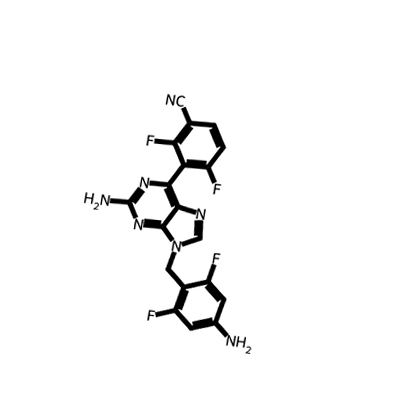 N#Cc1ccc(F)c(-c2nc(N)nc3c2ncn3Cc2c(F)cc(N)cc2F)c1F